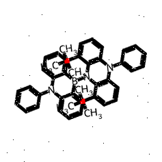 CC(C)(C)c1cccc2c1N(B1c3ccccc3N(c3ccccc3)c3ccccc31)c1c(cccc1C(C)(C)C)N2c1ccccc1